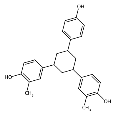 Cc1cc(C2CC(c3ccc(O)cc3)CC(c3ccc(O)c(C)c3)C2)ccc1O